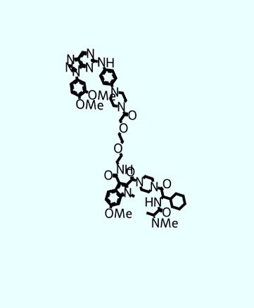 CN[C@@H](C)C(=O)NC(C(=O)N1CCN(C(=O)c2c(C(=O)NCCOCCOCC(=O)N3CCN(c4ccc(Nc5ncc6nnn(-c7ccc(OC)c(OC)c7)c6n5)cc4)CC3)c3ccc(OC)cc3n2C)CC1)C1CCCCC1